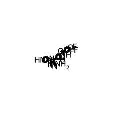 COc1cc(-c2nn(C3CCNCC3)c3ncnc(N)c23)ccc1NC(=O)c1ccc(OC(F)(F)F)cc1